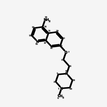 CN1CCN(CCOc2ccc3c(N)ccnc3c2)CC1